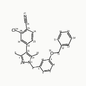 Cc1nn(Cc2cccc(OCc3ccccc3)c2)c(C)c1-c1ccc(C#N)c(Cl)c1